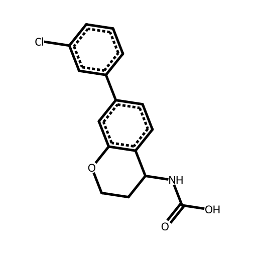 O=C(O)NC1CCOc2cc(-c3cccc(Cl)c3)ccc21